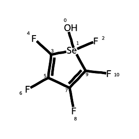 O[Se]1(F)C(F)=C(F)C(F)=C1F